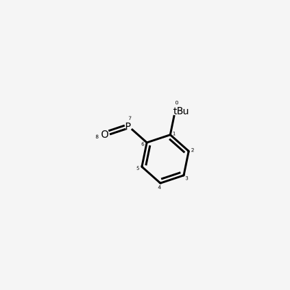 CC(C)(C)c1ccccc1P=O